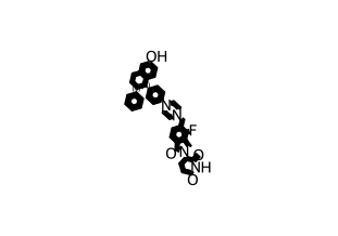 O=C1CCC(N2Cc3c(ccc(CN4CCN(c5ccc([C@H]6c7ccc(O)cc7CC[C@H]6c6ccccc6)cc5)CC4)c3F)C2=O)C(=O)N1